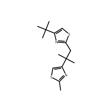 Cc1nc(C(C)(C)Cc2nc(C(C)(C)C)cs2)cs1